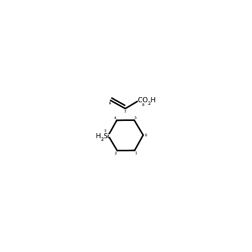 C1CC[SiH2]CC1.C=CC(=O)O